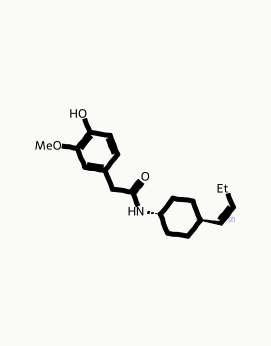 CC/C=C\[C@H]1CC[C@H](NC(=O)Cc2ccc(O)c(OC)c2)CC1